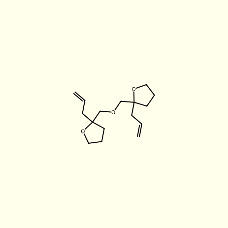 C=CCC1(COCC2(CC=C)CCCO2)CCCO1